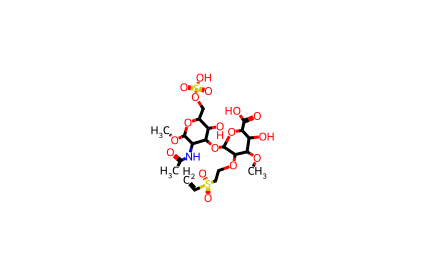 C=CS(=O)(=O)CCOC1C(OC2C(O)C(COS(=O)(=O)O)OC(OC)C2NC(C)=O)OC(C(=O)O)C(O)C1OC